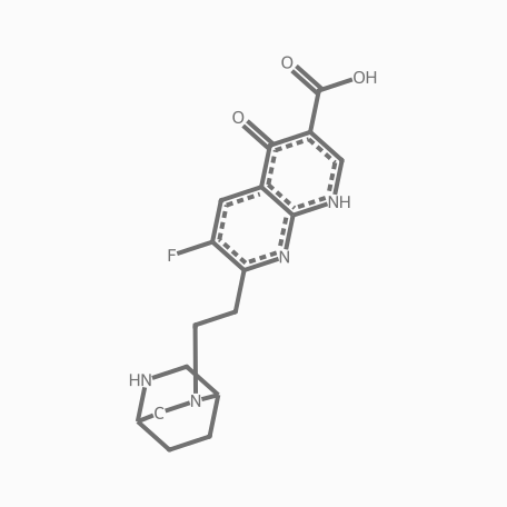 O=C(O)c1c[nH]c2nc(CCN3CC4CCC3CN4)c(F)cc2c1=O